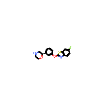 Fc1ccc2nc(Oc3cccc([C@@H]4CNCCO4)c3)sc2c1